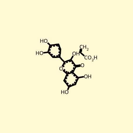 C=CC(=O)O.O=c1c(O)c(-c2ccc(O)c(O)c2)oc2cc(O)cc(O)c12